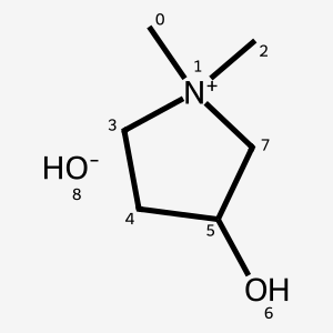 C[N+]1(C)CCC(O)C1.[OH-]